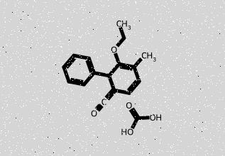 CCOC1=C(C)C=CC(=C=O)C1c1ccccc1.O=C(O)O